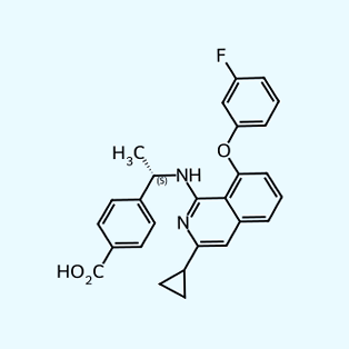 C[C@H](Nc1nc(C2CC2)cc2cccc(Oc3cccc(F)c3)c12)c1ccc(C(=O)O)cc1